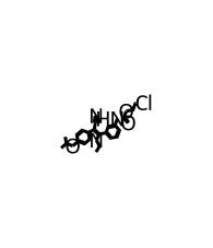 CCn1c(-c2cccc(NC(=O)OCCCl)c2)c(C#N)c2ccc(OC(C)C)cc21